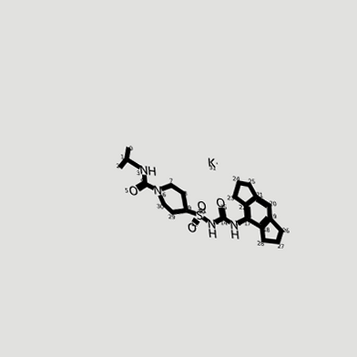 CC(C)NC(=O)N1CCC(S(=O)(=O)NC(=O)Nc2c3c(cc4c2CCC4)CCC3)CC1.[K]